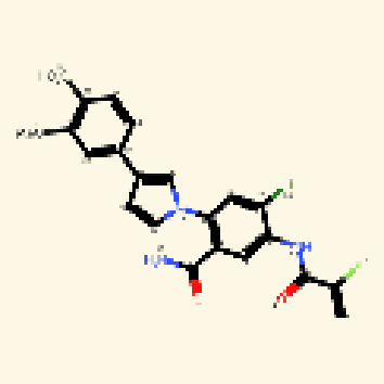 C=C(F)C(=O)Nc1cc(C(N)=O)c(-n2ccc(-c3ccc(C(=O)O)c(OC)c3)c2)cc1Cl